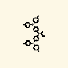 CCC(C)C(c1ccc(N(c2ccc(C)cc2)c2ccc(C)cc2)cc1)c1ccc(N(c2ccc(C)cc2)c2ccc(C)cc2)cc1